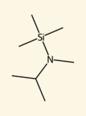 CC(C)N(C)[Si](C)(C)C